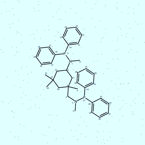 CN(CC1(C)CC(N(C)P(c2ccccc2)c2ccccc2)CC(C)(C)C1)P(c1ccccc1)c1ccccc1